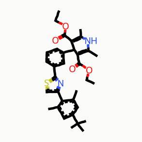 CCOC(=O)C1=C(C)NC(C)=C(C(=O)OCC)C1c1cccc(-c2nc(-c3c(C)cc(C(C)(C)C)cc3C)cs2)c1